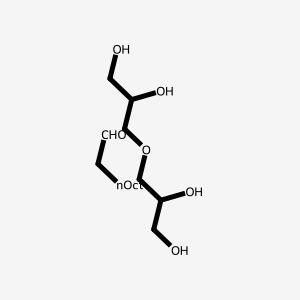 CCCCCCCCCC=O.OCC(O)COCC(O)CO